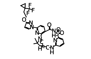 CC1(C)C[C@H]2CNc3cccc(n3)S(=O)(=O)NC(=O)c3ccc(-n4ccc(OCCC5(C(F)(F)F)CC5)n4)nc3N1C2